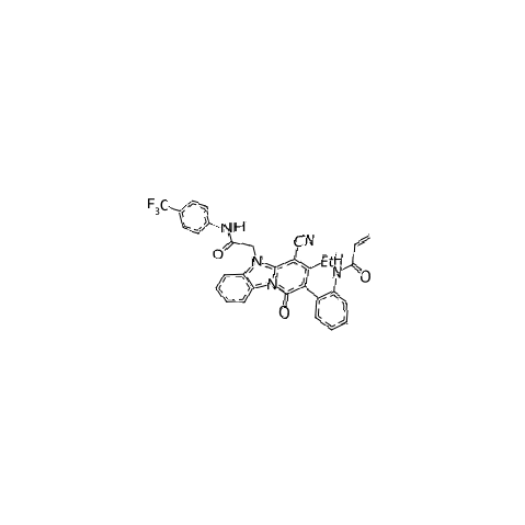 C=CC(=O)Nc1ccccc1-c1c(CC)c(C#N)c2n(CC(=O)Nc3ccc(C(F)(F)F)cc3)c3ccccc3n2c1=O